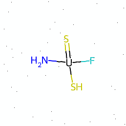 [NH2][U]([F])(=[S])[SH]